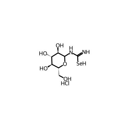 Cl.N=C([SeH])NC1O[C@H](CO)[C@@H](O)[C@H](O)[C@H]1O